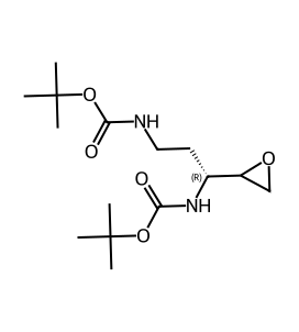 CC(C)(C)OC(=O)NCC[C@@H](NC(=O)OC(C)(C)C)C1CO1